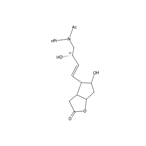 CCCN(C[C@@H](O)C=CC1C(O)CC2OC(=O)CC21)C(C)=O